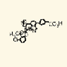 CC(OC(=O)Nc1cnoc1-c1ccc(-c2ccc(CC(=O)O)cc2)c2cn[nH]c12)c1ccccc1Cl